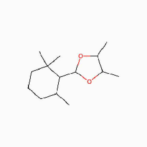 CC1CCCC(C)(C)C1C1OC(C)C(C)O1